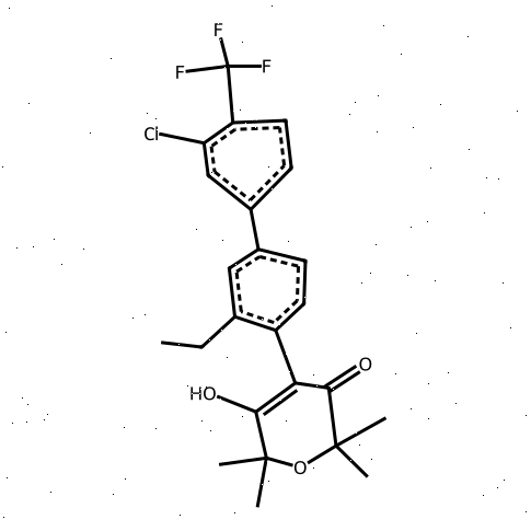 CCc1cc(-c2ccc(C(F)(F)F)c(Cl)c2)ccc1C1=C(O)C(C)(C)OC(C)(C)C1=O